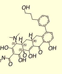 CN(C)[C@@H]1C(O)=C(C(N)=O)C(=O)[C@@]2(O)C(O)=C3C(=O)c4c(O)ccc(-c5cccc(CCCO)c5)c4C[C@H]3C[C@@H]12